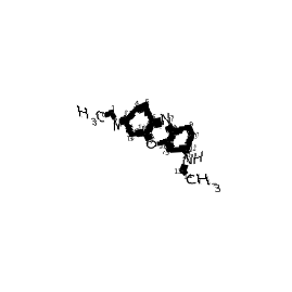 CCN=c1ccc2nc3ccc(NCC)cc3oc-2c1